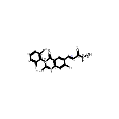 CCc1nc2cc(F)c(/C=C/C(=O)NO)cc2c(=O)n1-c1c(F)cccc1F